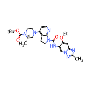 CCOc1cc2nc(C)nn2cc1NC(=O)N1CCc2c(N3CCN(C(=O)OC(C)(C)C)[C@@H](C)C3)ccnc21